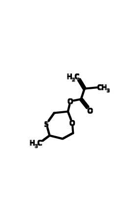 C=C(C)C(=O)OC1CSC(C)CCO1